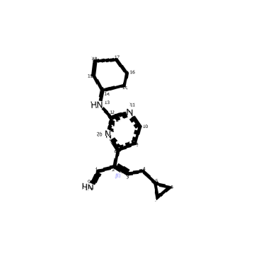 N=C/C(=C/CC1CC1)c1ccnc(NC2CCCCC2)n1